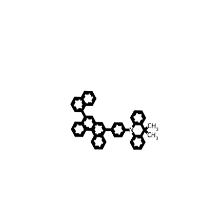 CC1(C)c2ccccc2N(c2ccc(-c3cc4cc(-c5cccc6ccccc56)c5ccccc5c4c4ccccc34)cc2)c2ccccc21